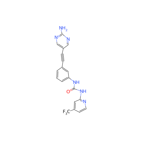 Nc1ncc(C#Cc2cccc(NC(=O)Nc3cc(C(F)(F)F)ccn3)c2)cn1